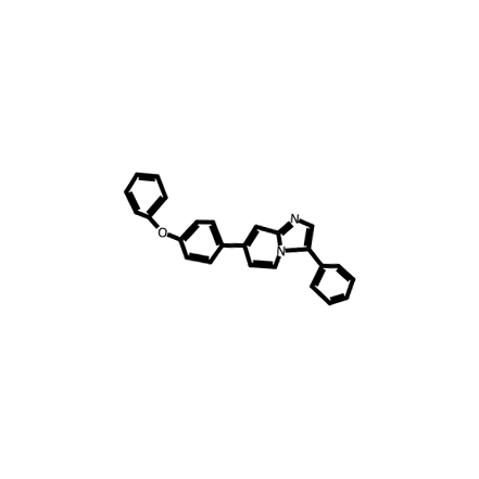 c1ccc(Oc2ccc(-c3ccn4c(-c5ccccc5)cnc4c3)cc2)cc1